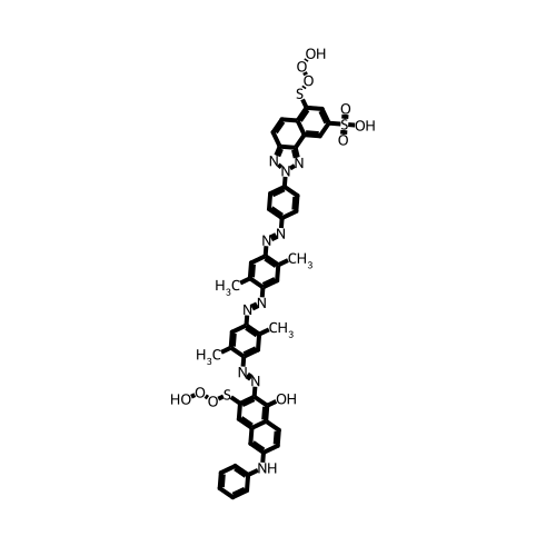 Cc1cc(N=Nc2cc(C)c(N=Nc3c(SOOO)cc4cc(Nc5ccccc5)ccc4c3O)cc2C)c(C)cc1N=Nc1ccc(-n2nc3ccc4c(SOOO)cc(S(=O)(=O)O)cc4c3n2)cc1